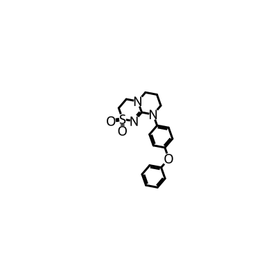 O=S1(=O)CCN2CCCN(c3ccc(Oc4ccccc4)cc3)C2=N1